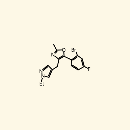 CCn1cc(Cc2nc(C)oc2-c2ccc(F)cc2Br)cn1